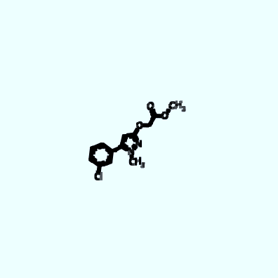 COC(=O)COc1cc(-c2cccc(Cl)c2)n(C)n1